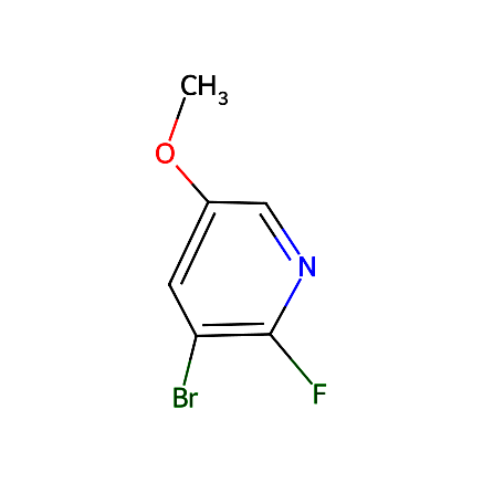 COc1cnc(F)c(Br)c1